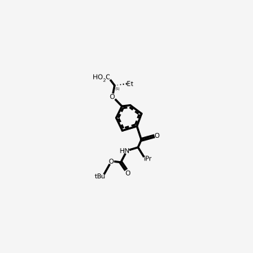 CC[C@H](Oc1ccc(C(=O)C(NC(=O)OC(C)(C)C)C(C)C)cc1)C(=O)O